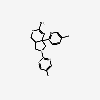 NC1=NC2(c3ccc(F)cn3)CN(c3ncc(F)cn3)CC2CS1